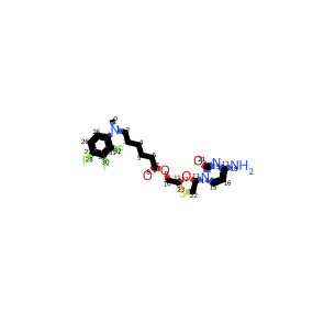 CN(CCCCCC(=O)OCC1OC(n2ccc(N)nc2=O)CS1)c1ccc(F)c(F)c1F